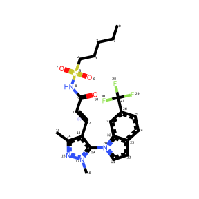 CCCCCS(=O)(=O)NC(=O)/C=C/c1c(C)nn(C)c1-n1ccc2ccc(C(F)(F)F)cc21